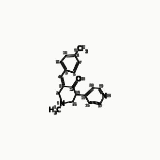 CN1CC(=Cc2ccc(C(F)(F)F)cc2)C(=O)C(c2ccncc2)C1